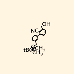 CC(C)(C)[Si](C)(C)OCc1cccc(-c2cccc(CO)c2C#N)c1